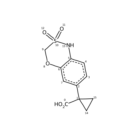 O=C(O)C1(c2ccc3c(c2)OCS(=O)(=O)N3)CC1